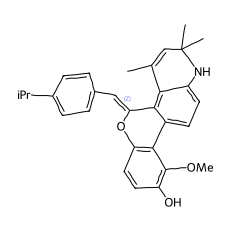 COc1c(O)ccc2c1-c1ccc3c(c1/C(=C/c1ccc(C(C)C)cc1)O2)C(C)=CC(C)(C)N3